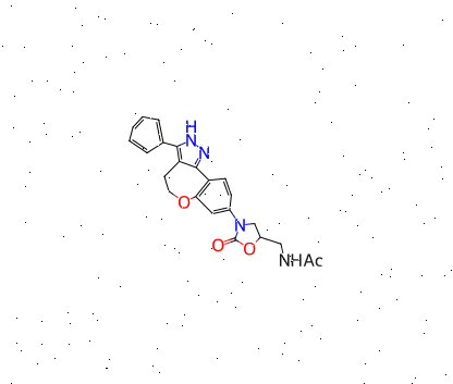 CC(=O)NCC1CN(c2ccc3c(c2)OCCc2c-3n[nH]c2-c2ccccc2)C(=O)O1